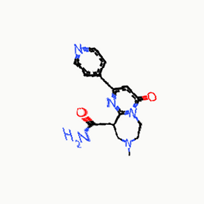 CN1CCn2c(nc(-c3ccncc3)cc2=O)C(C(N)=O)C1